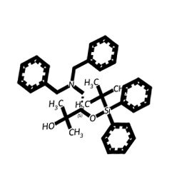 CC(C)(O)[C@H](CN(Cc1ccccc1)Cc1ccccc1)O[Si](c1ccccc1)(c1ccccc1)C(C)(C)C